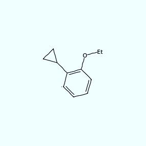 CCOc1ccc[c]c1C1CC1